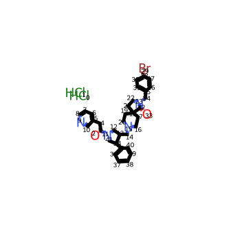 Cl.Cl.O=C(Cc1cccnc1)N1CC(CN2CCC3(CC2)CCN(Cc2ccc(Br)cc2)C3=O)C(c2ccccc2)C1